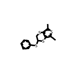 Cc1sc(C)c2c1SCC(Sc1ccccc1)S2